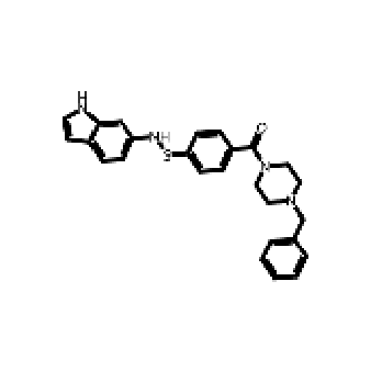 O=C(c1ccc(SNc2ccc3cc[nH]c3c2)cc1)N1CCN(Cc2ccccc2)CC1